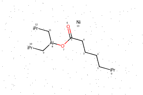 CC(C)CCCCC(=O)[O][Al]([CH2]C(C)C)[CH2]C(C)C.[Ni]